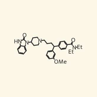 CCN(CC)C(=O)c1ccc(C(CCCN2CCC(n3c(=O)[nH]c4ccccc43)CC2)c2cccc(OC)c2)cc1